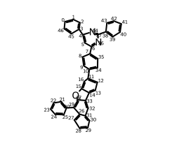 c1ccc(-c2cc(-c3ccc(-c4ccc5c(c4)oc4c(-c6ccccc6)c6ccccc6cc45)cc3)nc(-c3ccccc3)n2)cc1